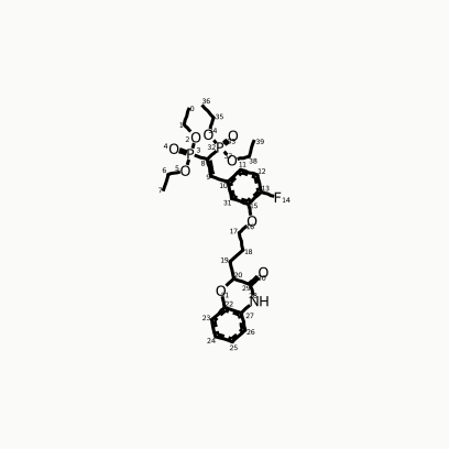 CCOP(=O)(OCC)C(=Cc1ccc(F)c(OCCCC2Oc3ccccc3NC2=O)c1)P(=O)(OCC)OCC